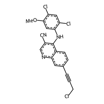 COc1cc(Nc2c(C#N)cnc3cc(C#CCCl)ccc23)c(Cl)cc1Cl